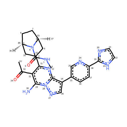 CNC(=O)N1[C@@H]2CC[C@H]1CC(c1nc3c(-c4ccc(-c5ncc[nH]5)nc4)cnn3c(N)c1C(C)=O)C2